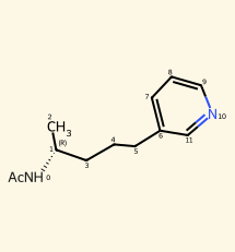 CC(=O)N[C@H](C)CCCc1cccnc1